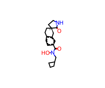 O=C(c1ccc2c(c1)C[C@]1(CCNC1=O)CC2)N(O)CC1CCC1